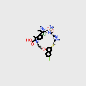 Cc1c(C(=O)O)n2c3ccc(Cl)c(c13)-c1c(nn(C)c1C)CN(S(=O)(=O)N(C)C)Cc1cc(n(C)n1)CSc1cc(c3ccc(F)cc3c1)OCCC2